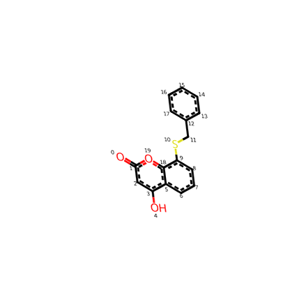 O=c1cc(O)c2cccc(SCc3ccccc3)c2o1